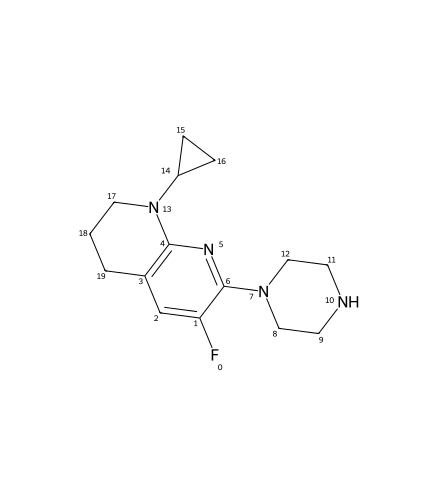 Fc1cc2c(nc1N1CCNCC1)N(C1CC1)CCC2